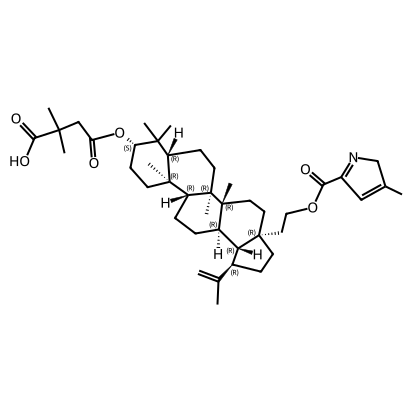 C=C(C)[C@@H]1CC[C@]2(CCOC(=O)C3=NCC(C)=C3)CC[C@]3(C)[C@H](CC[C@@H]4[C@@]5(C)CC[C@H](OC(=O)CC(C)(C)C(=O)O)C(C)(C)[C@@H]5CC[C@]43C)[C@@H]12